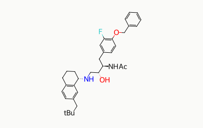 CC(=O)N[C@H](Cc1ccc(OCc2ccccc2)c(F)c1)[C@H](O)CN[C@H]1CCCc2ccc(CC(C)(C)C)cc21